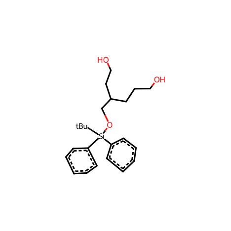 CC(C)(C)[Si](OCC(CCO)CCCO)(c1ccccc1)c1ccccc1